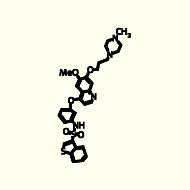 COc1cc2c(Oc3cccc(NS(=O)(=O)c4csc5ccccc45)c3)ccnc2cc1OCCCN1CCN(C)CC1